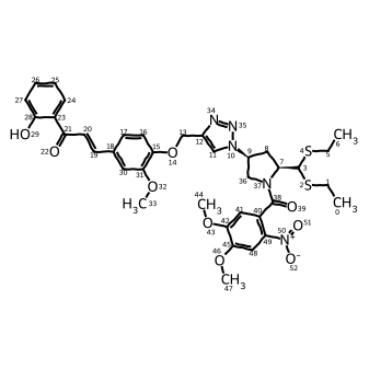 CCSC(SCC)[C@@H]1C[C@H](n2cc(COc3ccc(/C=C/C(=O)c4ccccc4O)cc3OC)nn2)CN1C(=O)c1cc(OC)c(OC)cc1[N+](=O)[O-]